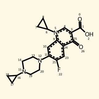 O=C(O)c1cn(C2CC2)c2cc(N3CCN(C4CC4)CC3)c(F)cc2c1=O